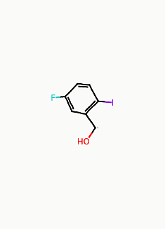 O[CH]c1cc(F)ccc1I